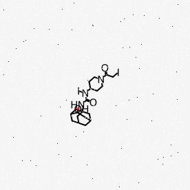 O=C(CI)N1CCC(N(I)C(=O)NC23CC4CC(C2)C(O)C(C4)C3)CC1